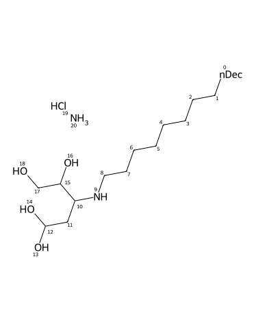 CCCCCCCCCCCCCCCCCCNC(CC(O)O)C(O)CO.Cl.N